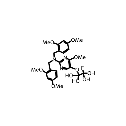 COc1ccc(CN(Cc2ccc(OC)cc2OC)c2ncc(OC(O)(O)C(O)(O)F)c(OC)n2)c(OC)c1